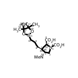 CN[C@H]1CN(C(=O)O)[C@H](C(=O)O)[C@@H]1CCCB1OC(C)(C)C(C)(C)O1